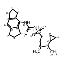 CC(CCS(=O)(=O)NC(=O)Nc1c2c(cc3c1CCC3)CCC2)N(C)C1CC1